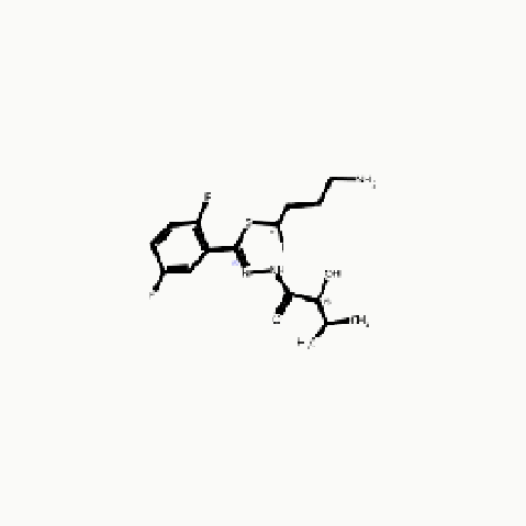 CC(C)[C@H](O)C(=O)N/N=C(\S[C@H](I)CCCN)c1cc(F)ccc1F